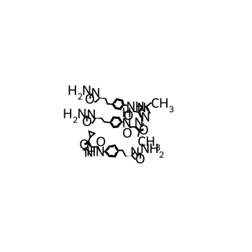 CCc1cncc(C(=O)Nc2ccc(CC[C@H]3COC(N)=N3)cc2)n1.CCc1ocnc1C(=O)Nc1ccc(CC[C@H]2COC(N)=N2)cc1.NC1=N[C@@H](CCc2ccc(NC(=O)c3ncoc3C3CC3)cc2)CO1